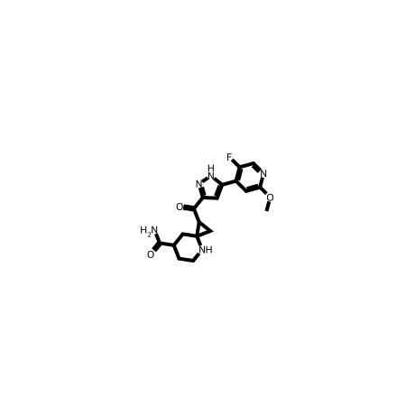 COc1cc(-c2cc(C(=O)C3CC34CC(C(N)=O)CCN4)n[nH]2)c(F)cn1